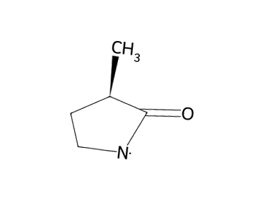 C[C@@H]1CC[N]C1=O